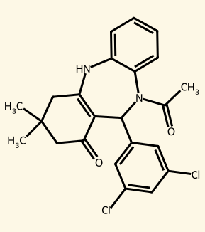 CC(=O)N1c2ccccc2NC2=C(C(=O)CC(C)(C)C2)C1c1cc(Cl)cc(Cl)c1